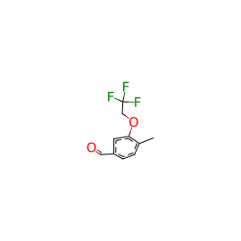 Cc1ccc(C=O)cc1OCC(F)(F)F